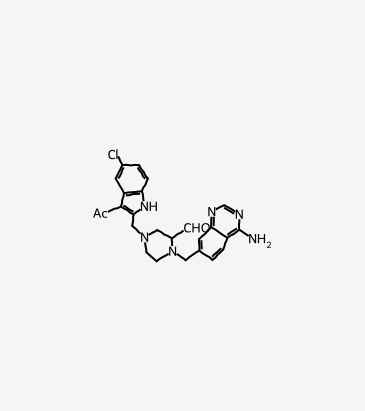 CC(=O)c1c(CN2CCN(Cc3ccc4c(N)ncnc4c3)C(C=O)C2)[nH]c2ccc(Cl)cc12